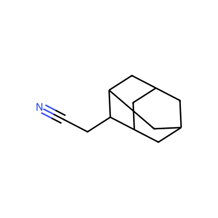 N#CCC1C2CC3CC(C2)CC1C3